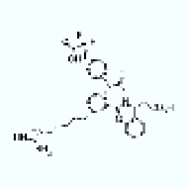 N=C(N)NCCCCCc1ccc2c(c1)C(=O)N(C(CC(=O)O)c1ccccc1)CC(=O)N2c1ccccc1.O=C(O)C(F)(F)F